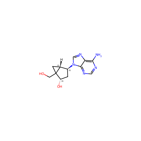 Nc1ncnc2c1ncn2[C@H]1C[C@H](O)C2(CO)C[C@H]12